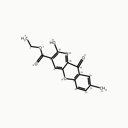 CCOC(=O)c1cc2oc3ccc(C)cc3c(=O)c2nc1O